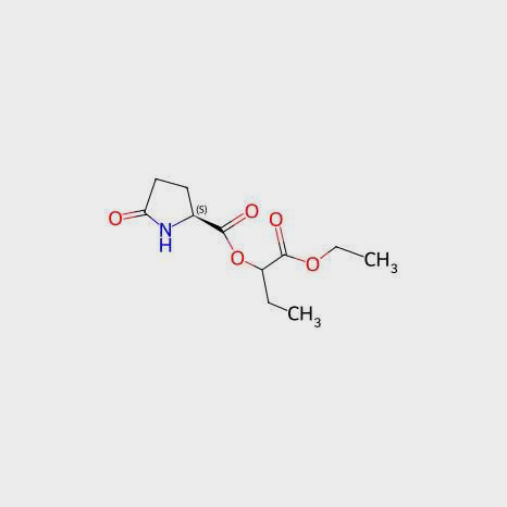 CCOC(=O)C(CC)OC(=O)[C@@H]1CCC(=O)N1